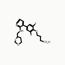 O=C(O)CCCOc1c(F)cc(-c2cccnc2NCC2CCOCC2)cc1F